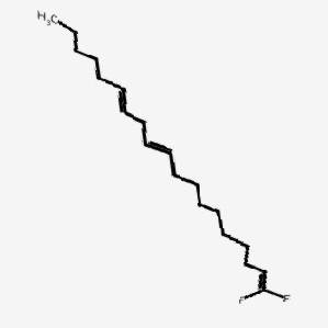 CCCCC/C=C/C/C=C/CCCCCCCC=C(F)F